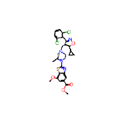 COC(=O)c1cc(OC)c2sc(N3CCN(Cc4c(-c5c(Cl)cccc5Cl)noc4C4CC4)CC3C)nc2c1